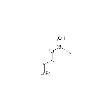 CCCCCOB(O)F